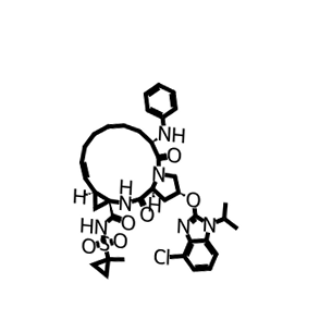 CC(C)n1c(O[C@@H]2C[C@H]3C(=O)N[C@]4(C(=O)NS(=O)(=O)C5(C)CC5)C[C@H]4/C=C\CCCCC[C@H](Nc4ccccc4)C(=O)N3C2)nc2c(Cl)cccc21